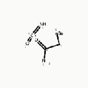 CCCCCC(N)=O.N=C=O